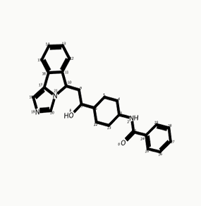 O=C(NC1CCC(C(O)CC2c3ccccc3-c3cncn32)CC1)c1ccccc1